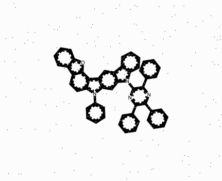 c1ccc(-c2nc(-c3ccccc3)c(-n3c4ccccc4c4cc5c6c7oc8ccccc8c7ccc6n(-c6ccccc6)c5cc43)nc2-c2ccccc2)cc1